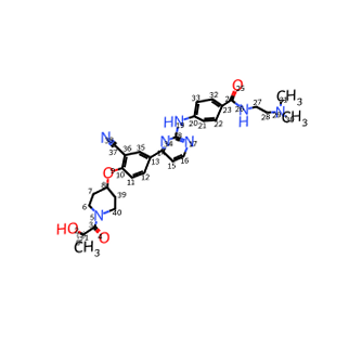 C[C@H](O)C(=O)N1CCC(Oc2ccc(-c3ccnc(Nc4ccc(C(=O)NCCN(C)C)cc4)n3)cc2C#N)CC1